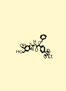 CCS(=O)(=O)c1ccc(C(OCc2ccccc2)C(=O)Nc2nc3cc(CO)c(CO)cc3s2)cc1